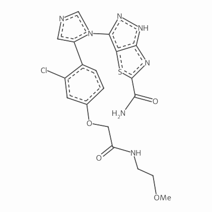 COCCNC(=O)COc1ccc(-c2cncn2-c2n[nH]c3nc(C(N)=O)sc23)c(Cl)c1